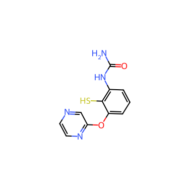 NC(=O)Nc1cccc(Oc2cnccn2)c1S